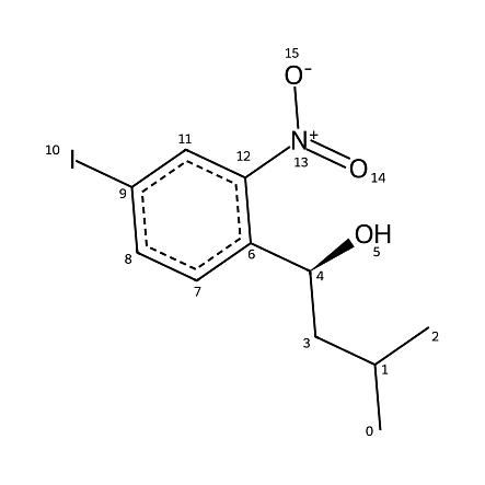 CC(C)C[C@H](O)c1ccc(I)cc1[N+](=O)[O-]